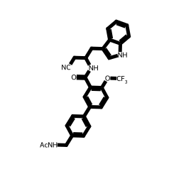 CC(=O)NCc1ccc(-c2ccc(OC(F)(F)F)c(C(=O)NC(CC#N)Cc3c[nH]c4ccccc34)c2)cc1